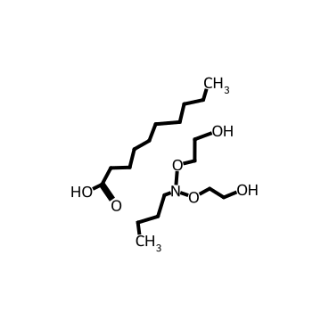 CCCCCCCCCC(=O)O.CCCCN(OCCO)OCCO